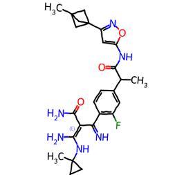 CC(C(=O)Nc1cc(C23CC(C)(C2)C3)no1)c1ccc(C(=N)/C(C(N)=O)=C(/N)NC2(C)CC2)c(F)c1